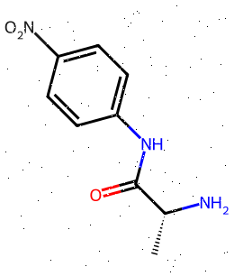 C[C@@H](N)C(=O)Nc1ccc([N+](=O)[O-])cc1